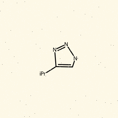 CC(C)C1=C[N]N=N1